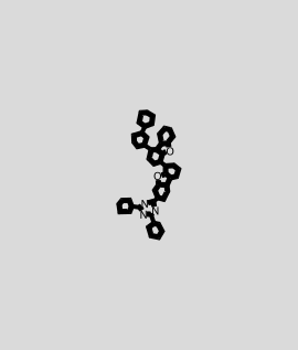 c1ccc(-c2cccc(-c3ccc(-c4cccc5c4oc4cc(-c6nc(-c7ccccc7)nc(-c7ccccc7)n6)ccc45)c4oc5ccccc5c34)c2)cc1